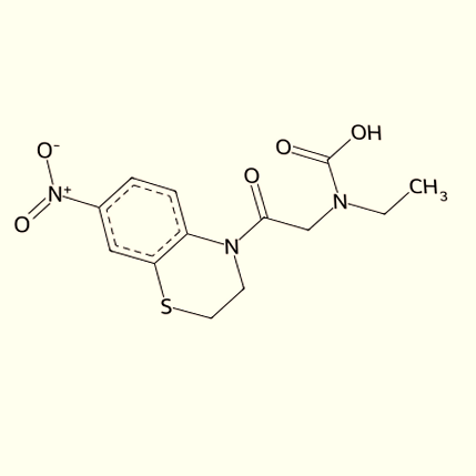 CCN(CC(=O)N1CCSc2cc([N+](=O)[O-])ccc21)C(=O)O